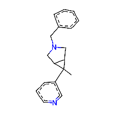 CC1(c2cccnc2)C2CN(Cc3ccccc3)CC21